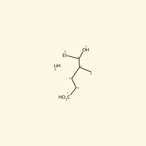 CCC(O)C(C)CCC(=O)O.[LiH]